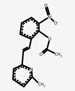 CC(=O)Oc1c(/C=C/c2cccc(C)n2)cccc1[N+](=O)[O-]